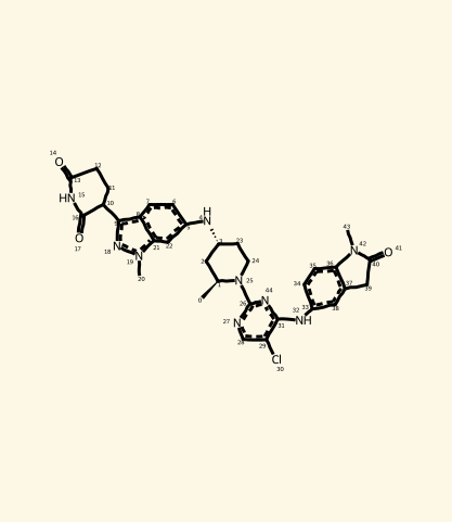 C[C@H]1C[C@H](Nc2ccc3c(C4CCC(=O)NC4=O)nn(C)c3c2)CCN1c1ncc(Cl)c(Nc2ccc3c(c2)CC(=O)N3C)n1